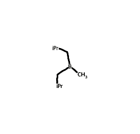 CB(CC(C)C)CC(C)C